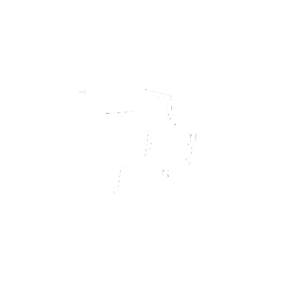 Cc1cc(CO)c2c(CO)ncnn12